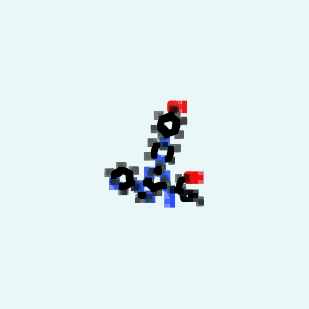 CC(CO)Nc1nc(N2CCN(c3ccc(O)cc3)CC2)nc2c1ncn2-c1cccnc1